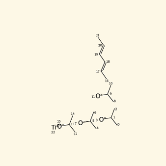 CC(C)[O-].CC(C)[O-].CC(C)[O-].CC(C)[O-].CC=CC=CC.[Ti+4]